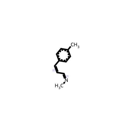 C/N=C\C=C/c1ccc(C)cc1